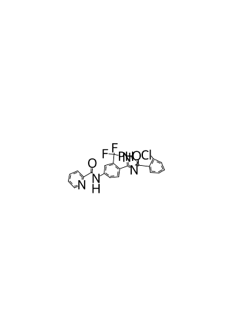 O=C(Nc1ccc(-c2noc(-c3ccccc3Cl)n2)c(C(F)(F)P)c1)c1ccccn1